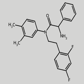 Cc1ccc(N(CCc2ccc(F)cc2F)C(=O)C(N)c2ccccc2)cc1C